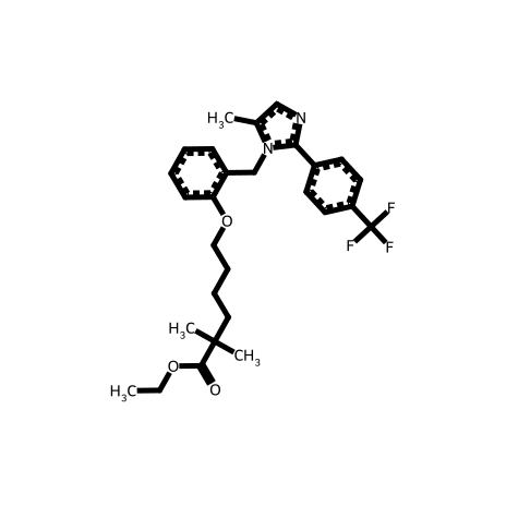 CCOC(=O)C(C)(C)CCCCOc1ccccc1Cn1c(C)cnc1-c1ccc(C(F)(F)F)cc1